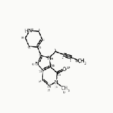 CC#CCn1c(C2=CCNCC2)nc2cnn(C)c(=O)c21